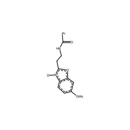 COc1ccc2c(c1)oc(CCNC(=O)C(C)C)[n+]2[O-]